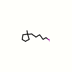 CC1(CCCCCI)CCCC1